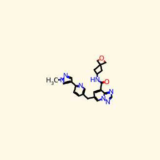 Cn1cc(-c2ccc(Cc3cc(C(=O)NC4CC5(COC5)C4)c4ncnn4c3)cn2)cn1